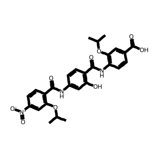 CC(C)Oc1cc(C(=O)O)ccc1NC(=O)c1ccc(NC(=O)c2ccc([N+](=O)[O-])cc2OC(C)C)cc1O